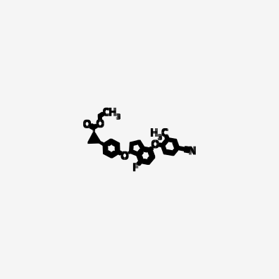 CCOC(=O)[C@H]1C[C@@H]1c1ccc(O[C@@H]2CCc3c(OC4C=CC(C#N)=CC4C)ccc(F)c32)cc1